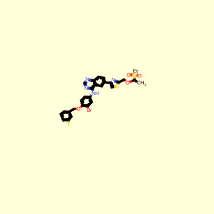 CCS(=O)(=O)C(C)OCc1nc(-c2ccc3ncnc(Nc4ccc(OCc5cccc(F)c5)c(Br)c4)c3c2)cs1